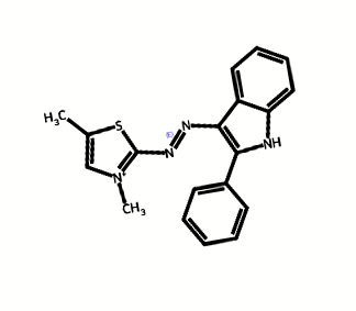 Cc1c[n+](C)c(/N=N/c2c(-c3ccccc3)[nH]c3ccccc23)s1